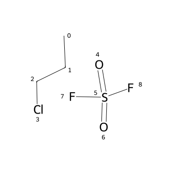 CCCCl.O=S(=O)(F)F